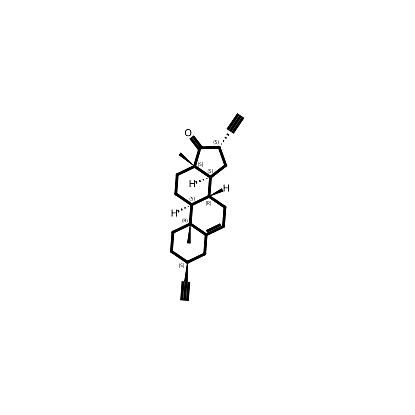 C#C[C@H]1CC[C@@]2(C)C(=CC[C@@H]3[C@@H]2CC[C@]2(C)C(=O)[C@H](C#C)C[C@@H]32)C1